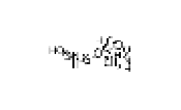 Cc1ccc(OC2CNC2)cc1C(=O)NC(C)c1cccc(-c2ccc(CN[C@H]3CC[C@@H](O)C3)o2)c1